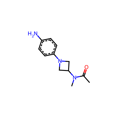 CC(=O)N(C)C1CN(c2ccc(N)cc2)C1